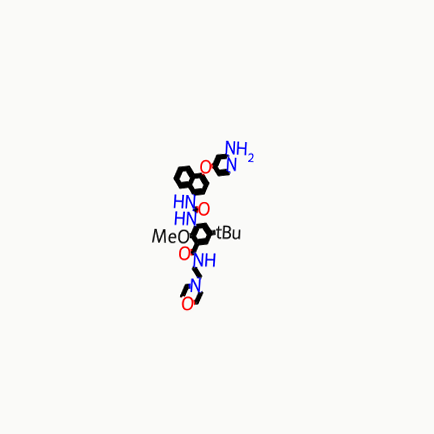 COc1c(NC(=O)Nc2ccc(Oc3ccnc(N)c3)c3ccccc23)cc(C(C)(C)C)cc1C(=O)NCCN1CCOCC1